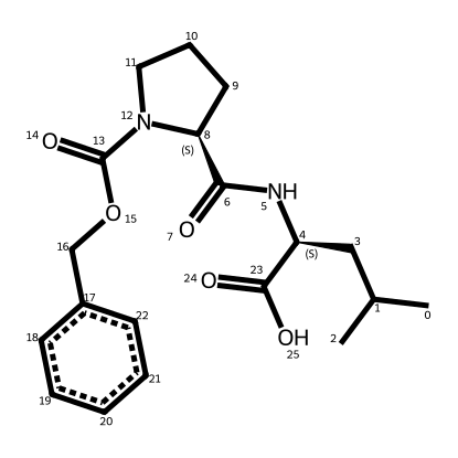 CC(C)C[C@H](NC(=O)[C@@H]1CCCN1C(=O)OCc1ccccc1)C(=O)O